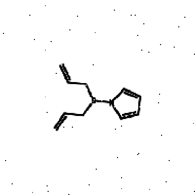 C=CCB(CC=C)n1cccc1